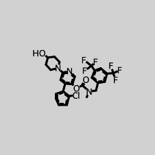 CN(Cc1cc(C(F)(F)F)cc(C(F)(F)F)c1)C(=O)Oc1cnc(N2CCC(O)CC2)cc1-c1ccccc1Cl